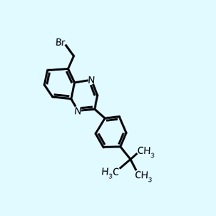 CC(C)(C)c1ccc(-c2cnc3c(CBr)cccc3n2)cc1